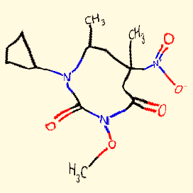 CON1C(=O)N(C2CC2)C(C)C(C)([N+](=O)[O-])C1=O